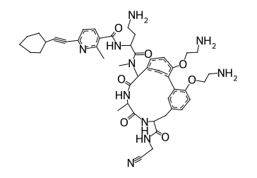 Cc1nc(C#CC2CCCCC2)ccc1C(=O)NC(CCN)C(=O)N(C)C1C(=O)NC(C)C(=O)NC(C(=O)NCC#N)Cc2ccc(OCCN)c(c2)-c2cc1ccc2OCCN